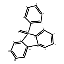 C=P1(c2ccccc2)c2ccccc2-c2ccccc21